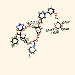 CO[C@H]1O[C@H](CCOc2cccc(-c3nccc(COc4ccc5cc4C[C@H](C(=O)O)Oc4ncnc6sc(-c7ccc(F)cc7)c(c46)-c4ccc(c(Cl)c4C)OC(CN4CCN(C)CC4)CO5)n3)c2)[C@@H](OC)[C@H](OC)[C@@H]1OC